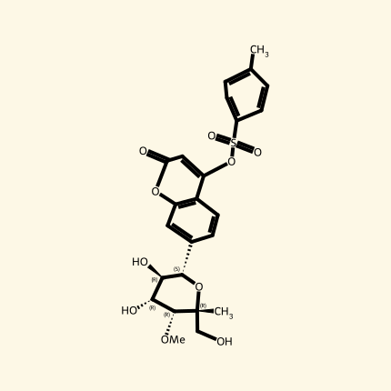 CO[C@@H]1[C@H](O)[C@@H](O)[C@H](c2ccc3c(OS(=O)(=O)c4ccc(C)cc4)cc(=O)oc3c2)O[C@]1(C)CO